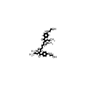 C=CCC(CCCCCCC(CC=C)(C(=O)c1ccc(NCCO)cc1)N(C)C)(C(=O)c1ccc(NCCO)cc1)N(C)C